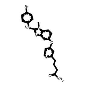 Cn1c(Nc2ccc(Br)cc2)nc2cc(Oc3ccnc(CCCC(N)=O)c3)ccc21